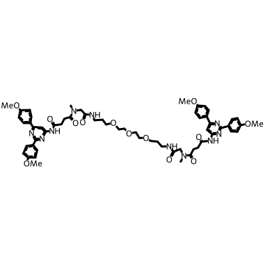 COc1ccc(-c2cc(NC(=O)CCC(=O)N(C)CC(=O)NCCCOCCOCCOCCCNC(=O)CN(C)C(=O)CCC(=O)Nc3cc(-c4ccc(OC)cc4)nc(-c4ccc(OC)cc4)n3)nc(-c3ccc(OC)cc3)n2)cc1